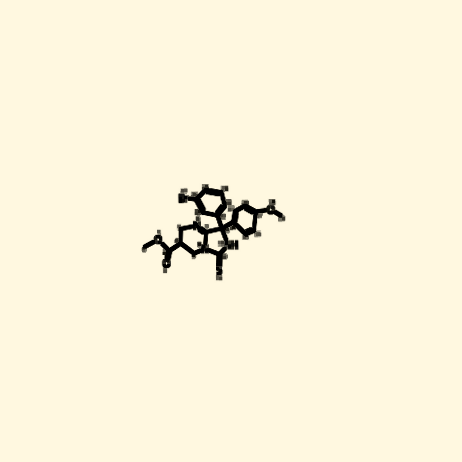 COC(=O)C1CN=C2N(C1)C(=S)NC2(c1ccc(OC)cc1)c1cccc(Br)c1